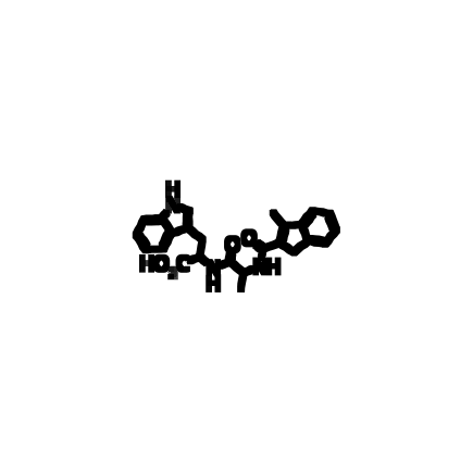 CC1=C(C(=O)NC(C)C(=O)NC(Cc2c[nH]c3ccccc23)C(=O)O)Cc2ccccc21